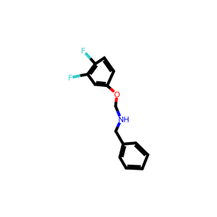 Fc1ccc(OCNCc2ccccc2)cc1F